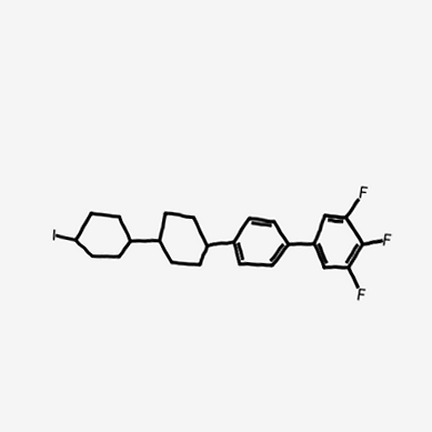 Fc1cc(-c2ccc(C3CCC(C4CCC(I)CC4)CC3)cc2)cc(F)c1F